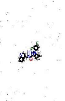 O=C(NCc1ccnc2ccccc12)c1nn(-c2ccc(F)cc2F)c2c1C[C@H]1C[C@@H]21